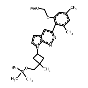 COCOc1cc(C(F)(F)F)cc(C)c1-c1cc2ccn(C3CC(C)(CO[Si](C)(C)C(C)(C)C)C3)c2nn1